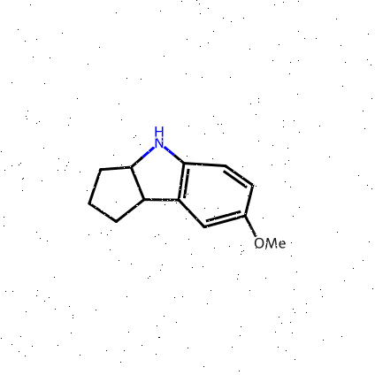 COc1ccc2c(c1)C1CCCC1N2